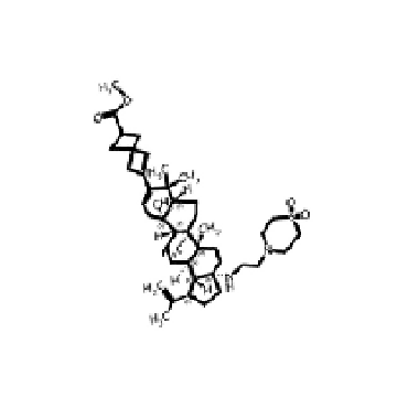 C=C(C)[C@@H]1CC[C@]2(NCCN3CCS(=O)(=O)CC3)CC[C@]3(C)[C@H](CC[C@@H]4[C@@]5(C)CC=C(C6=CC7(C6)CC(C(=O)OC)C7)C(C)(C)[C@@H]5CC[C@]43C)[C@@H]12